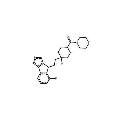 O=C(C1CCC(F)(CCC2c3c(F)cccc3-c3cncn32)CC1)N1CCCCC1